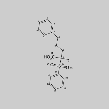 CC(CCCc1ccccc1)(C(=O)O)S(=O)(=O)c1ccccc1